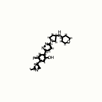 Cc1ncc(-c2cc(O)c(-c3ccc(N4CCC(NC5CCOCC5)C4)nn3)cc2F)s1